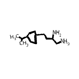 CC(C)c1ccc(CCC(N)CN)cc1